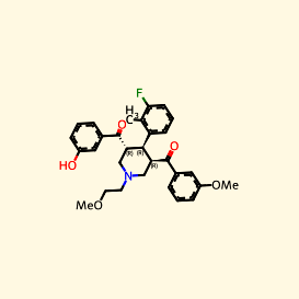 COCCN1C[C@H](C(=O)c2cccc(O)c2)[C@@H](c2cccc(F)c2C)[C@@H](C(=O)c2cccc(OC)c2)C1